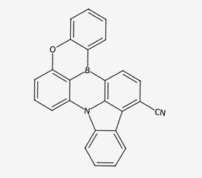 N#Cc1ccc2c3c1c1ccccc1n3-c1cccc3c1B2c1ccccc1O3